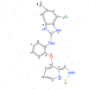 FC(F)(F)c1cc(Cl)c2[nH]c(Nc3ccccc3OC3=CC=CN4SNC=C34)nc2c1